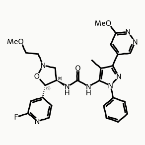 COCCN1C[C@@H](NC(=O)Nc2c(C)c(-c3cnnc(OC)c3)nn2-c2ccccc2)[C@H](c2ccnc(F)c2)O1